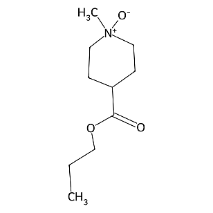 CCCOC(=O)C1CC[N+](C)([O-])CC1